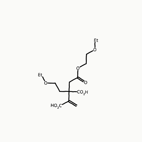 C=C(C(=O)O)C(CCOCC)(CC(=O)OCCOCC)C(=O)O